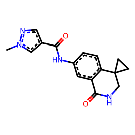 Cn1cc(C(=O)Nc2ccc3c(c2)C(=O)NCC32CC2)cn1